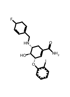 NC(=O)C1=C[C@H](Oc2ccccc2I)[C@@H](O)[C@H](NCC2=CCC(F)C=C2)C1